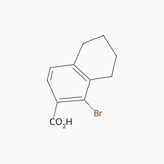 O=C(O)c1ccc2c(c1Br)CCCC2